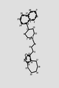 c1ccc2c(C3CCN(CCCc4onc5c4CCCCC5)CC3)cccc2c1